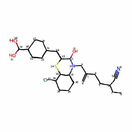 C=C(CCC(C#N)CC)CN1C(O)C(CC2CCC(C(O)O)CC2)SC2C(Cl)CCCC21